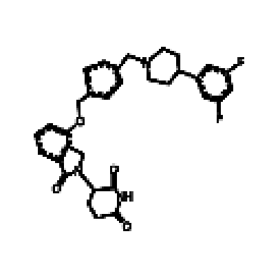 O=C1CCC(N2Cc3c(OCc4ccc(CN5CCC(c6cc(F)cc(F)c6)CC5)cc4)cccc3C2=O)C(=O)N1